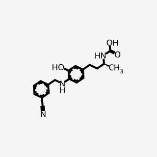 C[C@@H](CCc1ccc(NCc2cccc(C#N)c2)c(O)c1)NC(=O)O